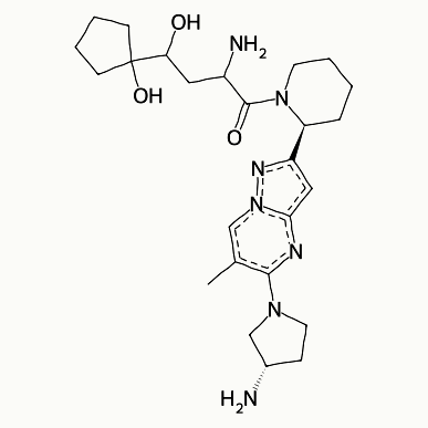 Cc1cn2nc([C@@H]3CCCCN3C(=O)C(N)CC(O)C3(O)CCCC3)cc2nc1N1CC[C@H](N)C1